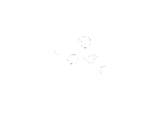 Cc1ccc(-c2nc(C(=O)N3CCOCC3)cn2-c2ccc(CN)cc2)cn1